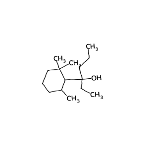 CCCC(O)(CC)C1C(C)CCCC1(C)C